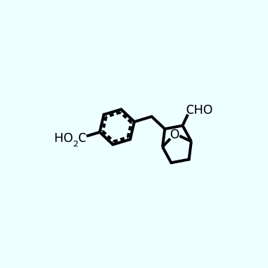 O=CC1C2CCC(O2)C1Cc1ccc(C(=O)O)cc1